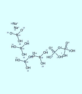 O=P(O)(O)OP(=O)(O)O.OB(O)O.OB(O)O.OB(O)O.[Na+].[Na+].[O-]B([O-])O